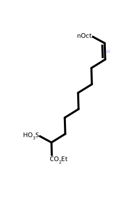 CCCCCCCC/C=C\CCCCCCC(C(=O)OCC)S(=O)(=O)O